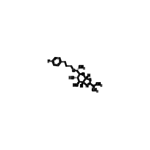 C[C@@H](OCCCc1ccc(F)cc1)[C@H]1O[C@@H]2SC(N(C)C)=N[C@@H]2[C@@H](O)[C@@H]1O